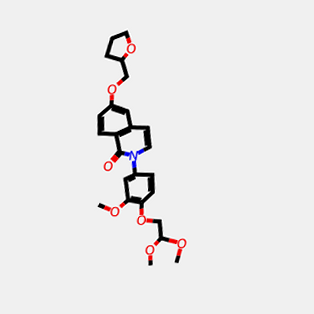 COc1cc(-n2ccc3cc(OCC4CCCO4)ccc3c2=O)ccc1OCC(OC)OC